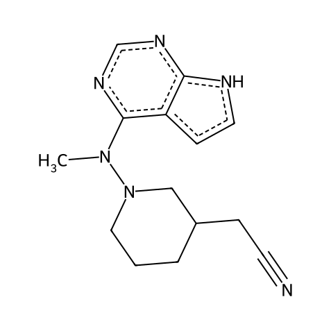 CN(c1ncnc2[nH]ccc12)N1CCCC(CC#N)C1